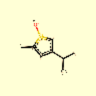 Cc1cc(C(C)C#N)c[s+]1[O-]